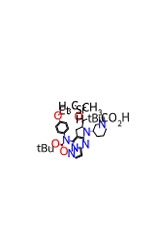 CCOc1ccc(N(C(=O)OC(C)(C)C)c2c3c(nc4ccnn24)N([C@H]2CCCN(C(=O)O)C2)C(C(O[SiH](C)C)C(C)(C)C)C3)cc1